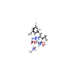 C/C=C/Cn1c(=O)[nH]c(Cc2cc(C)cc(C)c2)c(CC)c1=O